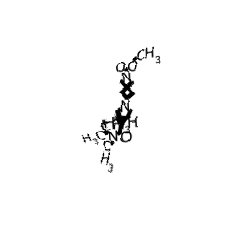 CCOC(=O)N1CC2(CC(N3C[C@@H]4C(C(=O)N(CC)C(C)C)[C@@H]4C3)C2)C1